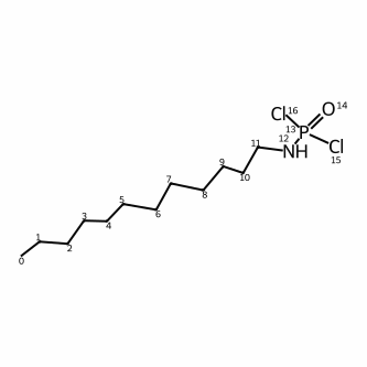 CCCCCCCCCCCCNP(=O)(Cl)Cl